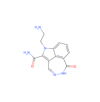 NCCn1c(C(N)=O)c2c3c(c[c]cc31)C(=O)NN=C2